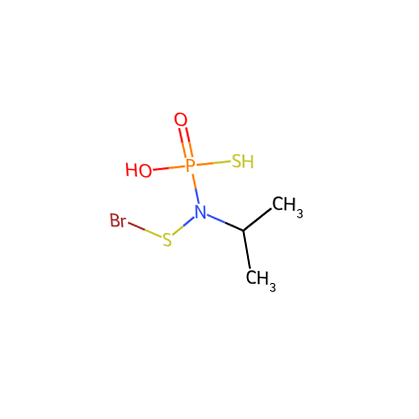 CC(C)N(SBr)P(=O)(O)S